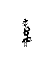 CC(C)(C)OC(=O)N1CCc2cc(-c3cncc4[nH]c(I)cc34)ccc2C1